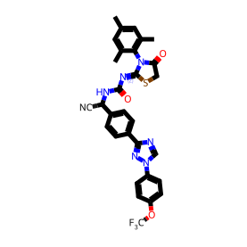 Cc1cc(C)c(N2C(=O)CS/C2=N\C(=O)NC(C#N)c2ccc(-c3ncn(-c4ccc(OC(F)(F)F)cc4)n3)cc2)c(C)c1